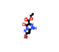 CCOC(=O)c1n[nH]c2cc(Br)nn2c1=O